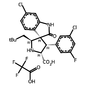 CC(C)(C)C[C@@H]1N[C@@H](C(=O)O)[C@@H](c2cc(F)cc(Cl)c2)[C@]12C(=O)Nc1cc(Cl)ccc12.O=C(O)C(F)(F)F